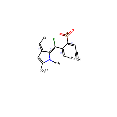 C#C\C=C(C(=C\C)/C(F)=c1/c(=C\CC)cc(C(=O)OCC)n1C)\[SH](=O)=O